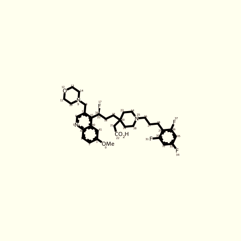 COc1ccc2ncc(CN3CCOCC3)c([C@@H](F)CCC3(CC(=O)O)CCN(CCCc4c(F)cc(F)cc4F)CC3)c2c1